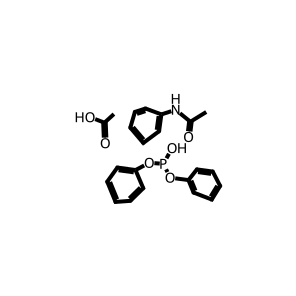 CC(=O)Nc1ccccc1.CC(=O)O.OP(Oc1ccccc1)Oc1ccccc1